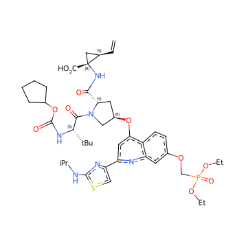 C=C[C@@H]1C[C@]1(NC(=O)[C@@H]1C[C@@H](Oc2cc(-c3csc(NC(C)C)n3)nc3cc(OCP(=O)(OCC)OCC)ccc23)CN1C(=O)[C@@H](NC(=O)OC1CCCC1)C(C)(C)C)C(=O)O